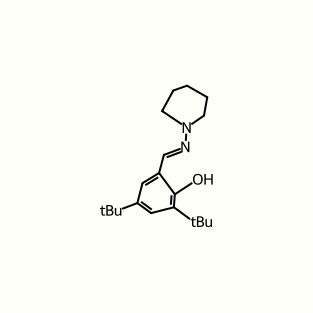 CC(C)(C)c1cc(C=NN2CCCCC2)c(O)c(C(C)(C)C)c1